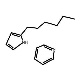 CCCCCCc1ccc[nH]1.c1ccncc1